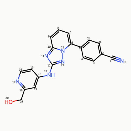 N#Cc1ccc(-c2cccc3nc(Nc4ccnc(CO)c4)nn23)cc1